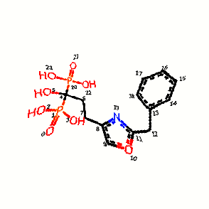 O=P(O)(O)C(O)(CCc1coc(Cc2ccccc2)n1)P(=O)(O)O